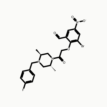 C[C@@H]1CN(Cc2ccc(F)cc2)[C@@H](C)CN1C(=O)COc1c(Br)cc([N+](=O)[O-])cc1C=O